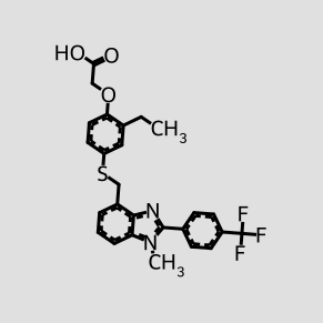 CCc1cc(SCc2cccc3c2nc(-c2ccc(C(F)(F)F)cc2)n3C)ccc1OCC(=O)O